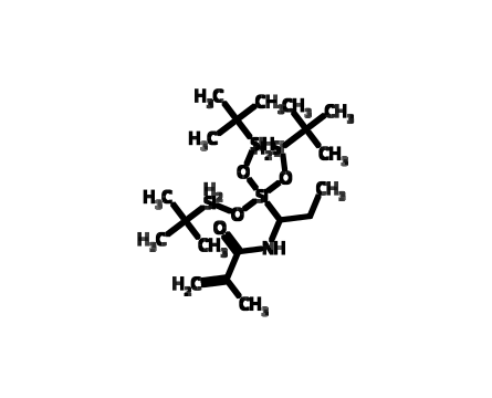 C=C(C)C(=O)NC(CC)[Si](O[SiH2]C(C)(C)C)(O[SiH2]C(C)(C)C)O[SiH2]C(C)(C)C